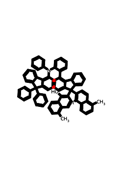 CCc1c(C2(c3ccc4c(C)cccc4c3O)c3ccccc3-c3c(-c4ccccc4N(c4ccccc4)c4cccc5c4-c4ccccc4C5(c4ccccc4)c4ccccc4)cccc32)ccc2c(C)cccc12